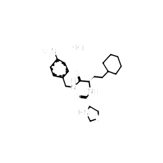 C[C@@H](NC(=S)[C@@H](CCC1CCCCC1)NC(=O)[C@@H]1CSCN1)c1ccc([N+](=O)[O-])cc1.Cl